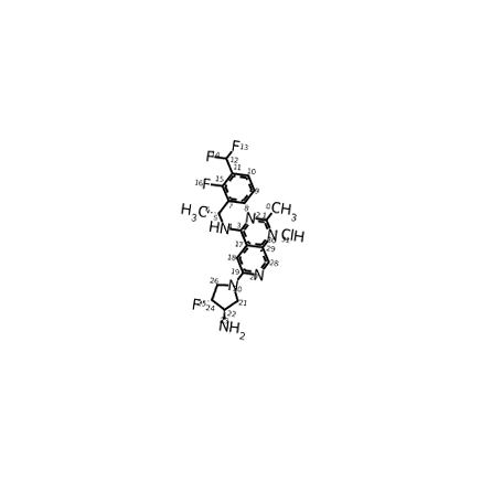 Cc1nc(N[C@H](C)c2cccc(C(F)F)c2F)c2cc(N3C[C@@H](N)[C@H](F)C3)ncc2n1.Cl